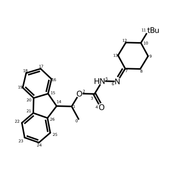 CC(OC(=O)NN=C1CCC(C(C)(C)C)CC1)C1c2ccccc2-c2ccccc21